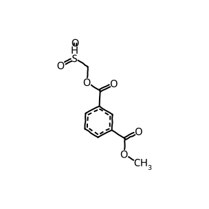 COC(=O)c1cccc(C(=O)OC[SH](=O)=O)c1